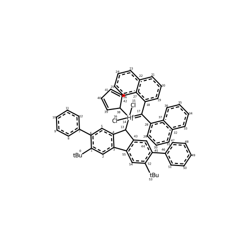 CC(C)(C)c1cc2c(cc1-c1ccccc1)[CH]([Hf]([Cl])([Cl])(=[C](c1cccc3ccccc13)c1cccc3ccccc13)[CH]1C=CC=C1)c1cc(-c3ccccc3)c(C(C)(C)C)cc1-2